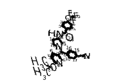 CC(C)Oc1ccc([C@@H](c2ccc(C#N)cc2)N2CCC(NC(=O)c3ccc(OC(F)(F)F)cc3)C2)cn1